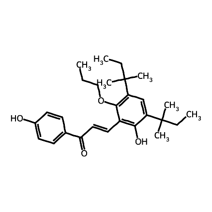 CCCOc1c(C(C)(C)CC)cc(C(C)(C)CC)c(O)c1/C=C/C(=O)c1ccc(O)cc1